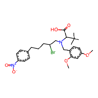 COc1ccc(CN(CC(Br)CCCc2ccc([N+](=O)[O-])cc2)C(C(=O)O)C(C)(C)C)c(OC)c1